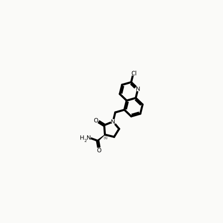 NC(=O)[C@@H]1CCN(Cc2cccc3nc(Cl)ccc23)C1=O